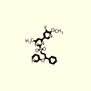 COc1ncc(-c2cc(C)nc(S(=O)(=O)CCC(Oc3cccnc3)c3ccccc3)n2)cc1F